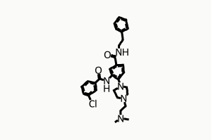 CN(C)CCN1CCN(c2ccc(C(=O)NCCc3ccccc3)cc2NC(=O)c2cccc(Cl)c2)CC1